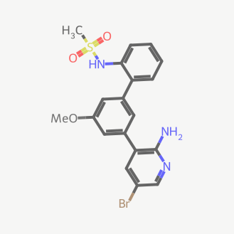 COc1cc(-c2ccccc2NS(C)(=O)=O)cc(-c2cc(Br)cnc2N)c1